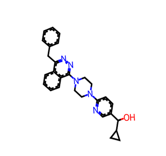 OC(c1ccc(N2CCN(c3nnc(Cc4ccccc4)c4ccccc34)CC2)nc1)C1CC1